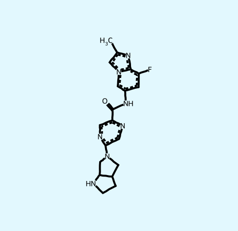 Cc1cn2cc(NC(=O)c3cnc(N4CC5CCNC5C4)cn3)cc(F)c2n1